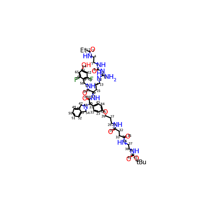 CCC(=O)NCCNC(=O)/N=C(/N)NCCC[C@@H](NC(=O)[C@H](c1ccc(OCCCNC(=O)CCC(=O)NCCNC(=O)OC(C)(C)C)cc1)N1Cc2ccccc2C1)C(=O)NCc1c(F)cc(O)cc1F